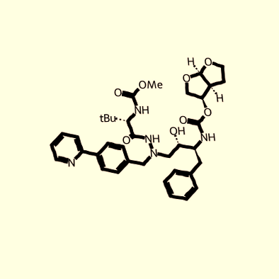 COC(=O)N[C@H](C(=O)NN(Cc1ccc(-c2ccccn2)cc1)C[C@H](O)[C@H](Cc1ccccc1)NC(=O)O[C@H]1CO[C@H]2OCC[C@H]21)C(C)(C)C